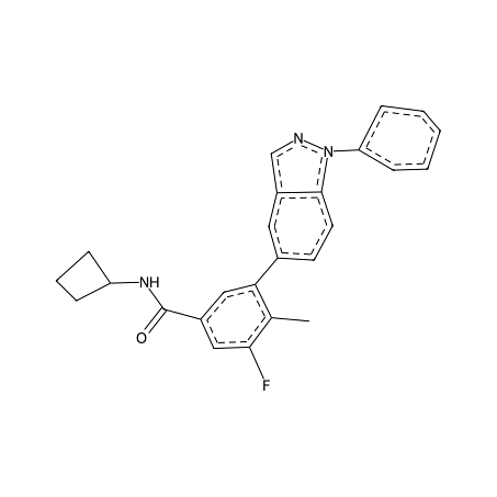 Cc1c(F)cc(C(=O)NC2CCC2)cc1-c1ccc2c(cnn2-c2ccccc2)c1